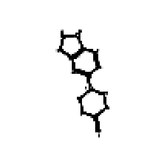 O=C1CCN(c2ccc3c(c2)COO3)CC1